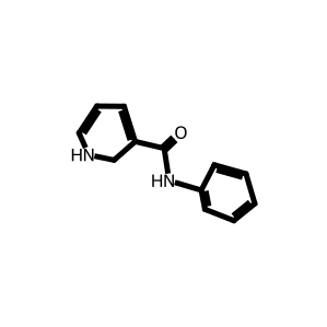 O=C(Nc1ccccc1)C1=CC=CNC1